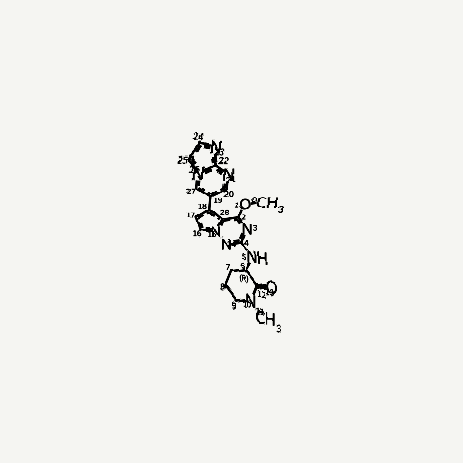 COc1nc(N[C@@H]2CCCN(C)C2=O)nn2ccc(-c3cnc4nccn4c3)c12